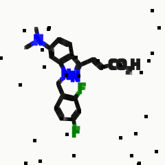 CN(C)c1ccc2c(C=CC(=O)O)nn(Cc3ccc(F)cc3F)c2c1